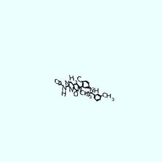 Cc1cccc(C(=O)Nc2ccc(C)c(-c3cc4cnc(NC5COC5)nc4c(=O)n3C)c2)c1